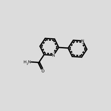 NC(=O)c1cccc(-c2cccnc2)n1